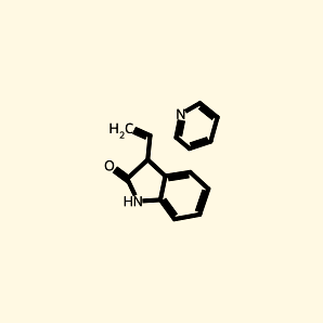 C=CC1C(=O)Nc2ccccc21.c1ccncc1